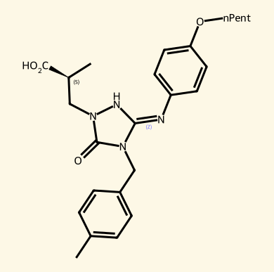 CCCCCOc1ccc(/N=c2\[nH]n(C[C@H](C)C(=O)O)c(=O)n2Cc2ccc(C)cc2)cc1